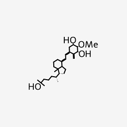 C=C1/C(=C\C=C2/CCCC3(C)C2CC[C@@H]3[C@H](C)CCCC(C)(C)O)C[C@@H](O)[C@@H](OC)[C@@H]1O